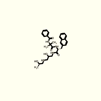 C[C@@H](O)CNCC(O)CNC(=O)[C@@H](Cc1ccc2ccccc2c1)NC(=O)C(C)(C)NC(=O)c1ccccc1